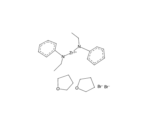 C1CCOC1.C1CCOC1.CC[N]([Zr+2][N](CC)c1ccccc1)c1ccccc1.[Br-].[Br-]